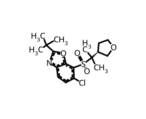 CC(C)(C)c1nc2ccc(Cl)c(S(=O)(=O)C(C)(C)[C@H]3CCOC3)c2o1